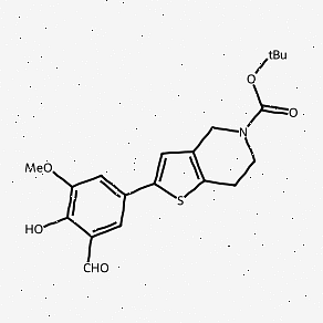 COc1cc(-c2cc3c(s2)CCN(C(=O)OC(C)(C)C)C3)cc(C=O)c1O